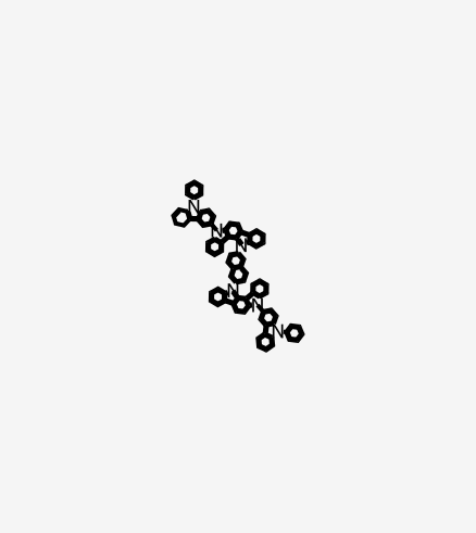 C1=Cc2c(c3cc(-n4c5ccccc5c5c4ccc4c6ccccc6n(-c6ccc7cc(-n8c9ccccc9c9ccc%10c(c%11ccccc%11n%10-c%10ccc%11c(c%10)c%10ccccc%10n%11-c%10ccccc%10)c98)ccc7c6)c45)ccc3n2-c2ccccc2)CC1